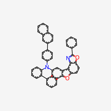 c1ccc(-c2nc3c(ccc4oc5ccc(N(c6ccc(-c7ccc8ccccc8c7)cc6)c6ccccc6-c6ccccc6)cc5c43)o2)cc1